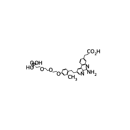 Cc1cc(OCCOCCOCCP(=O)(O)O)ccc1CCc1cnc2c(N)nc3cc(CCC(=O)O)ccc3c2c1